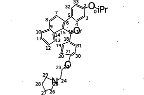 CC(C)Oc1ccc(-c2ccc3ccccc3c2C(=O)c2ccc(OCCN3CCCC3)cc2)cc1